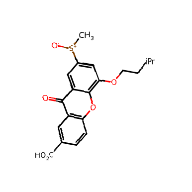 CC(C)CCOc1cc([S+](C)[O-])cc2c(=O)c3cc(C(=O)O)ccc3oc12